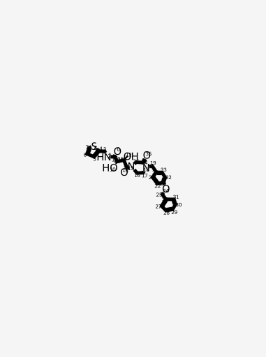 O=C(NCc1cccs1)[C@H](O)[C@@H](O)C(=O)N1CCN(Cc2ccc(OCc3ccccc3)cc2)C(=O)C1